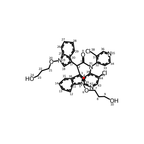 O=C(C(c1cn(OCCCO)c2ccccc12)c1cn(OCCCO)c2ccccc12)N(c1ccncc1Cl)c1ccncc1Cl